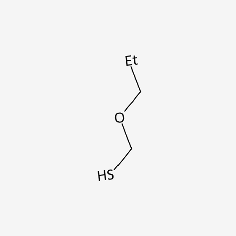 [CH2]CCOCS